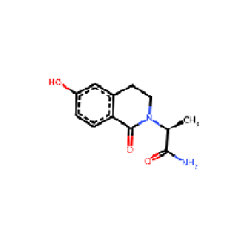 C[C@@H](C(N)=O)N1CCc2cc(O)ccc2C1=O